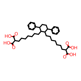 O=C(O)C(CCCCCCCC1C(c2ccccc2)CCC(c2ccccc2)C1CCCCCCCC(C(=O)O)C(=O)O)C(=O)O